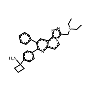 CCN(CC)Cc1nnc2c3cc(-c4ccccc4)c(-c4ccc(C5(N)CCC5)cc4)nc3ccn12